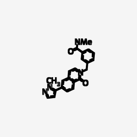 CNC(=O)c1cccc(Cn2ccc3cc(-c4ccnn4C)ccc3c2=O)c1